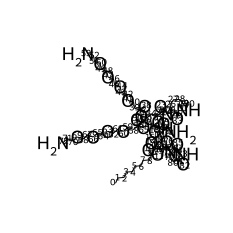 CCCCCCCCCC(=O)O[C@@H]1[C@H](OC)[C@@H]([C@@H](OC2OC(C(=O)N[C@H]3CCC[C@@H](C)NC3=O)=C[C@H](OC(=O)CCOCCOCCOCCOCCN)[C@@H]2OC(=O)CCOCCOCCOCCOCCN)C(N)=O)O[C@H]1n1ccc(=O)[nH]c1=O